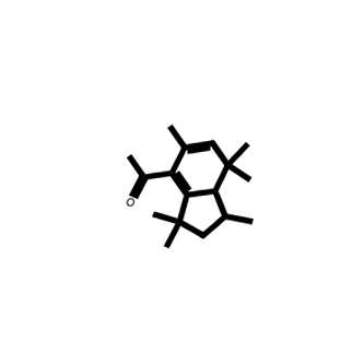 CC(=O)C1=C2C(C(C)CC2(C)C)C(C)(C)C=C1C